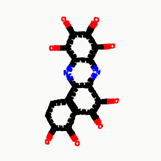 O=c1ccc2c3nc4c(=O)c(=O)c(=O)c(=O)c4nc3c(=O)c(=O)c=2c1=O